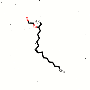 CCCCCCCC/C=C\CCCCCC(CC)OCC[O]